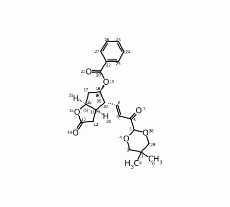 CC1(C)COC(C(=O)C=C[C@@H]2[C@H]3CC(=O)O[C@H]3C[C@H]2OC(=O)c2ccccc2)OC1